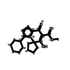 COC(=O)C1=C(O)C2(CCCC2)n2c(ccc2C2CCCCC2)C1=O